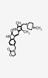 Cc1[nH]c(C=C2C(=O)Nc3ccc(CN4CCOC4=O)cc32)c(C)c1CN1CCN(C)CC1